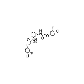 CN(C)C1CC(NC(=O)COc2ccc(Cl)c(F)c2)C2CCCC1(NC(=O)COc1ccc(Cl)c(F)c1)C2